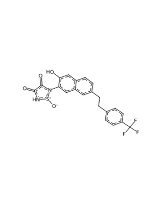 O=c1[nH][s+]([O-])n(-c2cc3cc(CCc4ccc(C(F)(F)F)cc4)ccc3cc2O)c1=O